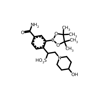 CC1(C)OB(c2cc(C(N)=O)ccc2C(CN2CCC(O)CC2)S(=O)(=O)O)OC1(C)C